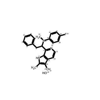 Cc1[nH]c2c(C(Cc3ccccc3)N(C)c3ccc(F)cc3)nccc2c1C.Cl